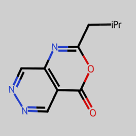 CC(C)Cc1nc2cnncc2c(=O)o1